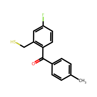 Cc1ccc(C(=O)c2ccc(F)cc2CS)cc1